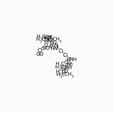 CC(C)[C@H](NC(=O)OC(C)(C)C)C(=O)N1C[C@H](OC(=O)N2Cc3ccc4c(c3C2)OCO4)CC1c1ncc(-c2ccc(-c3ccc(-c4c[nH]c([C@@H]5CCCN5C(=O)[C@@H](NC(=O)OC(C)(C)C)C(C)C)n4)cc3)cc2)[nH]1